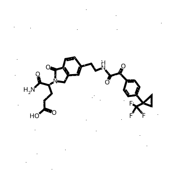 NC(=O)C(CCC(=O)O)N1Cc2cc(CCNC(=O)C(=O)c3ccc(C4(C(F)(F)F)CC4)cc3)ccc2C1=O